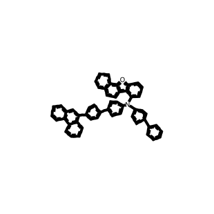 c1ccc(-c2ccc(N(c3ccc(-c4ccc(-c5cc6ccccc6c6ccccc56)cc4)cc3)c3cccc4oc5c6ccccc6ccc5c34)cc2)cc1